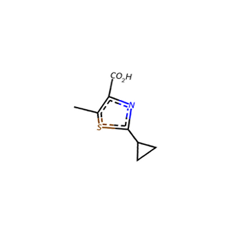 Cc1sc(C2CC2)nc1C(=O)O